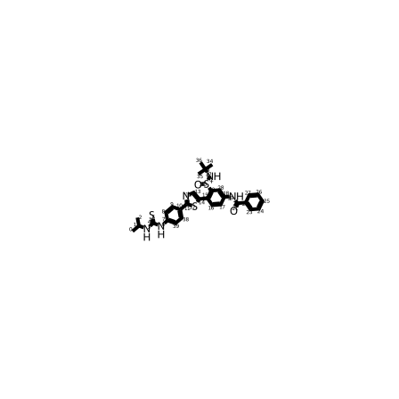 CC(C)NC(=S)Nc1ccc(-c2ncc(-c3ccc(NC(=O)c4ccccc4)cc3[S+]([O-])NC(C)(C)C)s2)cc1